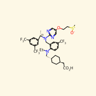 CCN(C[C@H]1CC[C@H](CC(=O)O)CC1)c1ccc(C(F)(F)F)cc1CN(c1ncc(OCC[S+](C)[O-])cn1)[C@@H](C)c1cc(C(F)(F)F)cc(C(F)(F)F)c1